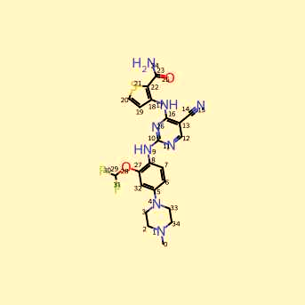 CN1CCN(c2ccc(Nc3ncc(C#N)c(Nc4ccsc4C(N)=O)n3)c(OC(F)F)c2)CC1